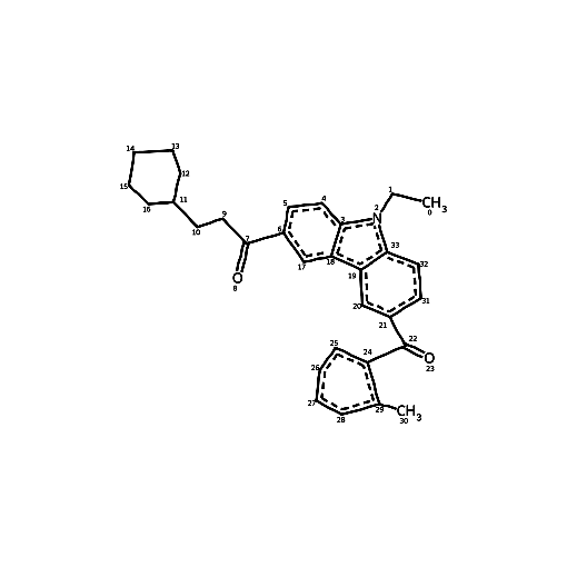 CCn1c2ccc(C(=O)CCC3CCCCC3)cc2c2cc(C(=O)c3ccccc3C)ccc21